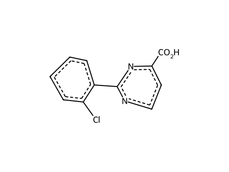 O=C(O)c1ccnc(-c2ccccc2Cl)n1